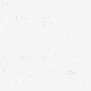 CSOC(CC(C)(C)COC(C)=O)OC(C)=O